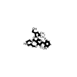 CC1(C)CC(CO)CN1c1nc(-c2c(O)cccc2F)c(Cl)c2c1C(=O)N1CCNCC1CO2